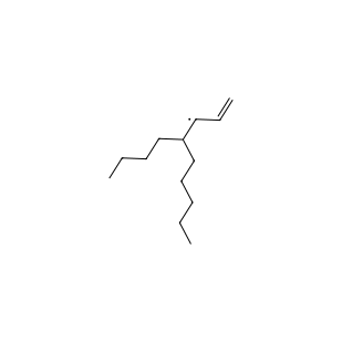 C=C[CH]C(CCCC)CCCCC